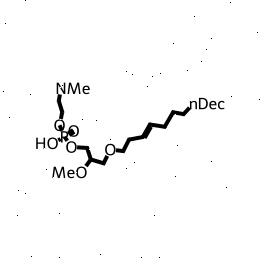 CCCCCCCCCCCCCC=CCCOCC(COP(=O)(O)OCCNC)OC